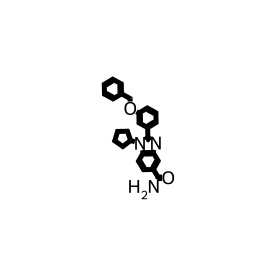 NC(=O)c1ccc2c(c1)nc(-c1cccc(OCc3ccccc3)c1)n2C1CCCC1